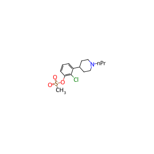 CCCN1CCC(c2cccc(OS(C)(=O)=O)c2Cl)CC1